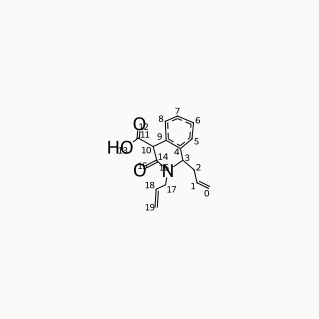 C=CCC1c2ccccc2C(C(=O)O)C(=O)N1CC=C